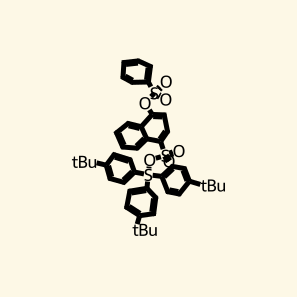 CC(C)(C)c1ccc(S(OS(=O)(=O)c2ccc(OS(=O)(=O)c3ccccc3)c3ccccc23)(c2ccc(C(C)(C)C)cc2)c2ccc(C(C)(C)C)cc2)cc1